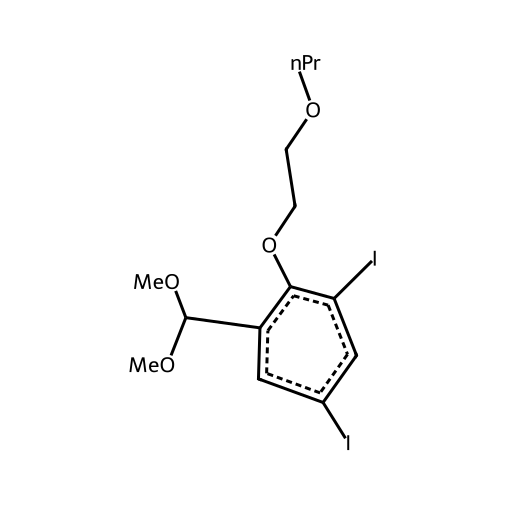 CCCOCCOc1c(I)cc(I)cc1C(OC)OC